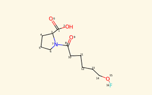 O=C(O)C1CCCN1C(=O)CCCCCOF